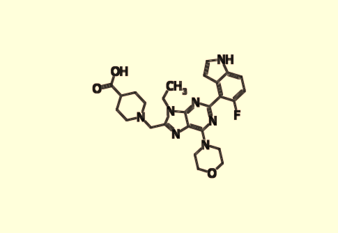 CCn1c(CN2CCC(C(=O)O)CC2)nc2c(N3CCOCC3)nc(-c3c(F)ccc4[nH]ccc34)nc21